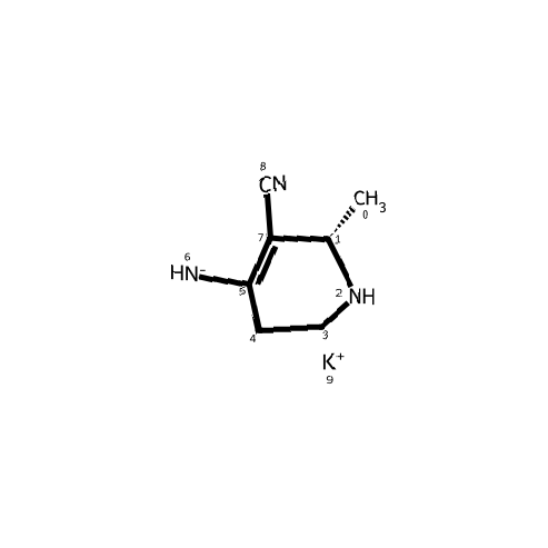 C[C@@H]1NCCC([NH-])=C1C#N.[K+]